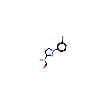 CN(C=O)C1=NN(c2cccc(Br)c2)CC1